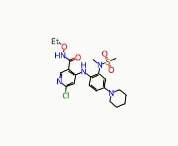 CCONC(=O)c1cnc(Cl)cc1Nc1ccc(N2CCCCC2)cc1N(C)S(C)(=O)=O